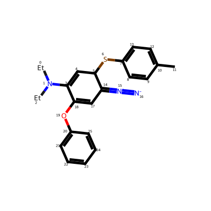 CCN(CC)C1=CC(Sc2ccc(C)cc2)C(=[N+]=[N-])C=C1Oc1ccccc1